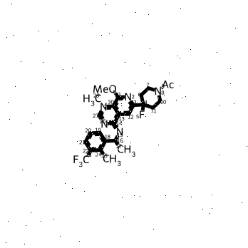 COc1nc(C2(F)CCN(C(C)=O)CC2)cc2/c(=N/C(C)c3cccc(C(F)(F)F)c3C)ncn(C)c12